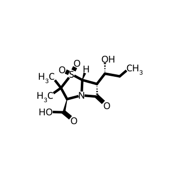 CC[C@@H](O)[C@@H]1C(=O)N2[C@@H](C(=O)O)C(C)(C)S(=O)(=O)[C@H]12